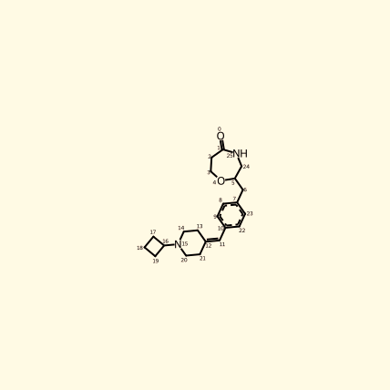 O=C1CCOC(Cc2ccc(C=C3CCN(C4CCC4)CC3)cc2)CN1